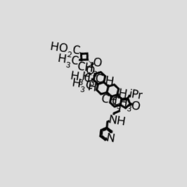 CC(C)C1=C2[C@H]3CC[C@@H]4[C@@]5(C)CC[C@H](OC(=O)[C@H]6C[C@@H](C(=O)O)C6(C)C)C(C)(C)[C@@H]5CC[C@@]4(C)[C@]3(C)CC[C@@]2(CCNCc2cccnc2)CC1=O